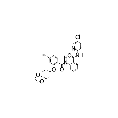 CC(C)c1ccc(C(=O)Nc2ccccc2C(=O)Nc2ccc(Cl)cn2)c(OC2CCC3(CC2)OCCO3)c1